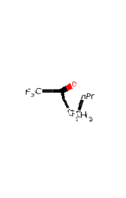 CCCC.O=C(C(F)(F)F)C(F)(F)F